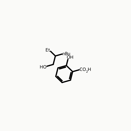 CCCCC(CC)CO.O=C(O)c1ccccc1O